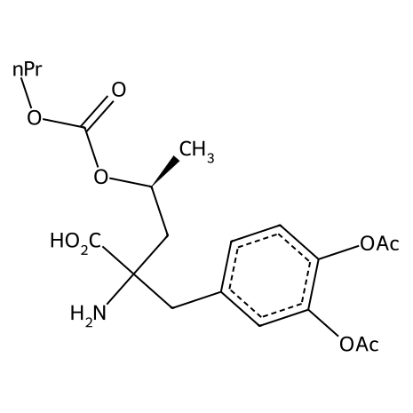 CCCOC(=O)O[C@@H](C)CC(N)(Cc1ccc(OC(C)=O)c(OC(C)=O)c1)C(=O)O